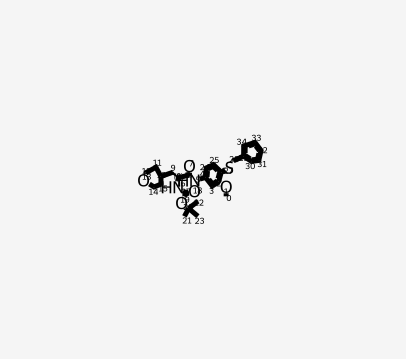 COc1cc(NC(=O)[C@H](CC2CCOCC2)NC(=O)OC(C)(C)C)ccc1SCc1ccccc1